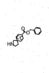 O=C(OCc1ccccc1)C1CC2CCC1CC21CCNC1